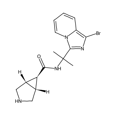 CC(C)(NC(=O)[C@H]1[C@@H]2CNC[C@@H]21)c1nc(Br)c2ccccn12